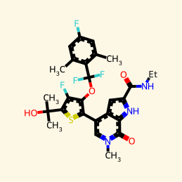 CCNC(=O)c1cc2c(-c3sc(C(C)(C)O)c(F)c3OC(F)(F)c3c(C)cc(F)cc3C)cn(C)c(=O)c2[nH]1